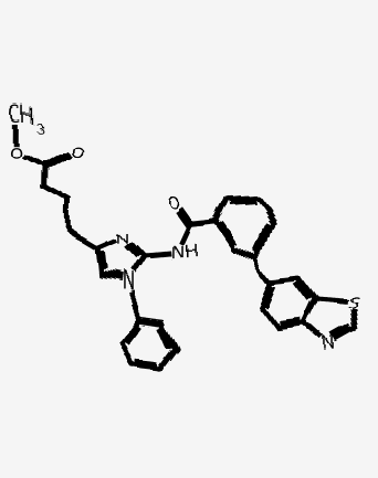 COC(=O)CCCc1cn(-c2ccccc2)c(NC(=O)c2cccc(-c3ccc4ncsc4c3)c2)n1